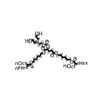 CCCCCCCCC(CCCCCC)C(=O)OCCCCCCOC(=O)CCC(OC(=O)OCCN(CCO)CCO)C(=O)OCCCCCCOC(=O)C(CCCCCC)CCCCCCCC